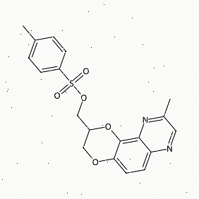 Cc1ccc(S(=O)(=O)OCC2COc3ccc4ncc(C)nc4c3O2)cc1